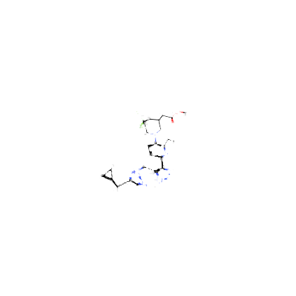 CCc1nc(-c2nnn(C)c2Cn2ncc(CC3CC3)n2)ccc1N1CC(CC(=O)OC)CC(F)(F)C1